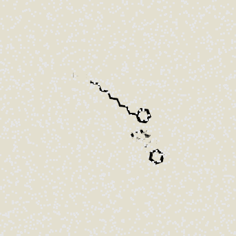 CCCCCCCCCCc1ccccc1OS(=O)(=O)OS(=O)(=O)Oc1ccccc1